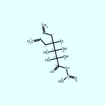 C=CCC(CC)(CC=C)C(O)(O)C(O)(O)C(=O)[O][Ti](=[O])[OH]